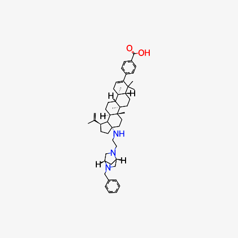 C=C(C)[C@@H]1CC[C@]2(NCCN3C[C@@H]4C[C@H]3CN4Cc3ccccc3)CC[C@]3(C)[C@H](CC[C@@H]4[C@@]5(C)CC=C(c6ccc(C(=O)O)cc6)C(C)(C)[C@@H]5CC[C@]43C)C12